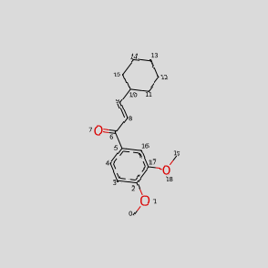 COc1ccc(C(=O)C=CC2CCCCC2)cc1OC